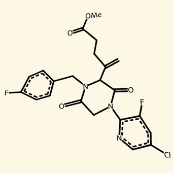 C=C(CCC(=O)OC)C1C(=O)N(c2ncc(Cl)cc2F)CC(=O)N1Cc1ccc(F)cc1